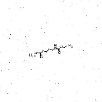 C=CC(=O)CCCCNC(=O)OCC